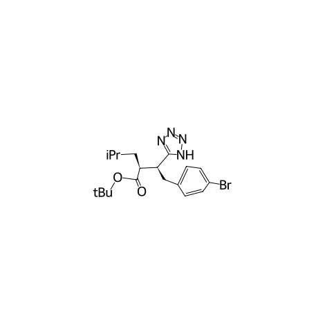 CC(C)C[C@H](C(=O)OC(C)(C)C)[C@H](Cc1ccc(Br)cc1)c1nnn[nH]1